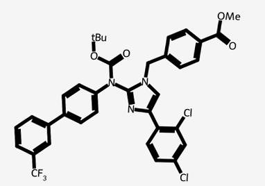 COC(=O)c1ccc(Cn2cc(-c3ccc(Cl)cc3Cl)nc2N(C(=O)OC(C)(C)C)c2ccc(-c3cccc(C(F)(F)F)c3)cc2)cc1